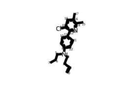 C=CCCN(CCC)c1ccc(-c2nc(C)c(C)cc2Cl)cc1